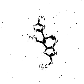 CCc1c(-c2noc(C)n2)cnc2nc(SC)sc12